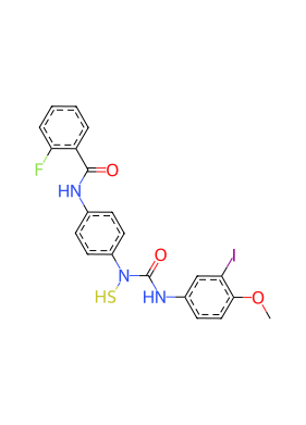 COc1ccc(NC(=O)N(S)c2ccc(NC(=O)c3ccccc3F)cc2)cc1I